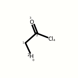 [2H]CC(=O)Cl